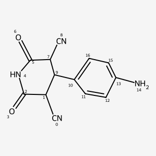 N#CC1C(=O)NC(=O)C(C#N)C1c1ccc(N)cc1